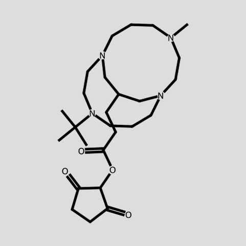 CN1CCCN2CCN(C(C)(C)C)CCCN(CC1)CC(CCC(=O)OC1C(=O)CCC1=O)C2